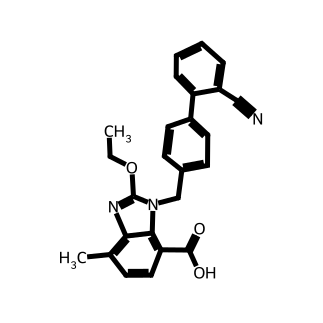 CCOc1nc2c(C)ccc(C(=O)O)c2n1Cc1ccc(-c2ccccc2C#N)cc1